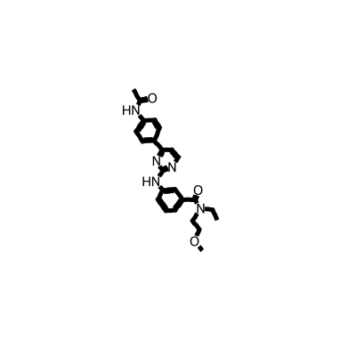 CCN(CCOC)C(=O)c1cccc(Nc2nccc(-c3ccc(NC(C)=O)cc3)n2)c1